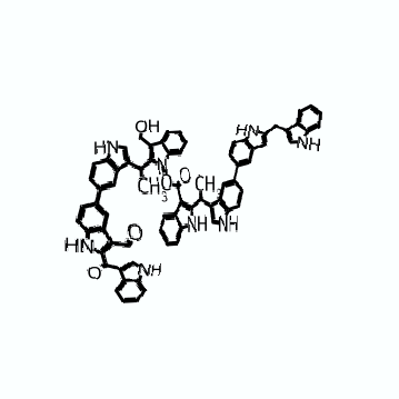 CC(c1[nH]c2ccccc2c1C(=O)On1c(C(C)c2c[nH]c3ccc(-c4ccc5[nH]c(C(=O)c6c[nH]c7ccccc67)c(C=O)c5c4)cc23)c(CO)c2ccccc21)c1c[nH]c2ccc(-c3ccc4[nH]c(Cc5c[nH]c6ccccc56)cc4c3)cc12